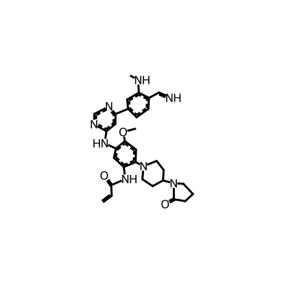 C=CC(=O)Nc1cc(Nc2cc(-c3ccc(C=N)c(NC)c3)ncn2)c(OC)cc1N1CCC(N2CCCC2=O)CC1